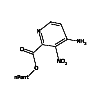 CCCCCOC(=O)c1nccc(N)c1[N+](=O)[O-]